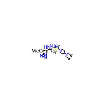 COc1cc(-c2[nH]nc(-c3nc(C)c(N4CCC(N(CC5CC5)CC5CC5)CC4)s3)c2C(C)C)cn2ncnc12